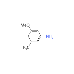 COC1=CC(N)=CC(C(F)(F)F)C1